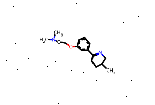 CC1CCC(c2cccc(OCCN(C)C)c2)=NC1